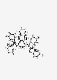 Cc1ccc2nc3n(-c4ccc5c6c4Oc4ccccc4B6c4ccccc4N5c4ccccc4)c4ccccc4n3c2c1